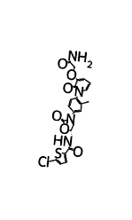 Cc1cc(N2C[C@H](CNC(=O)c3ccc(Cl)s3)OC2=O)ccc1-n1cccc(OCC(N)=O)c1=O